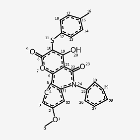 COc1ccc2c3oc(=O)c(Sc4ccc(C)cc4)c(O)c3c(=O)n(-c3ccccc3)c2c1